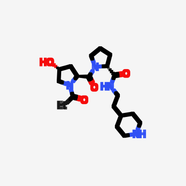 CCC(=O)N1C[C@H](O)C[C@H]1C(=O)N1CCC[C@@H]1C(=O)NCCC1CCNCC1